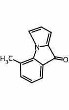 Cc1cccc2c1-n1cccc1C2=O